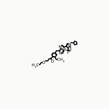 CCCOCCCC(=O)c1ccc(Cc2nccn3c(-c4cn(CC5CCCC5)nc4C(F)(F)F)cnc23)cc1CC